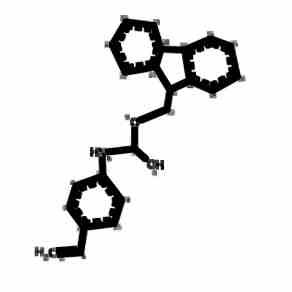 C=Cc1ccc(NC(O)OCC2c3ccccc3-c3ccccc32)cc1